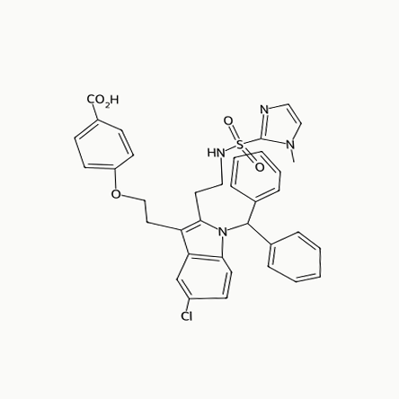 Cn1ccnc1S(=O)(=O)NCCc1c(CCOc2ccc(C(=O)O)cc2)c2cc(Cl)ccc2n1C(c1ccccc1)c1ccccc1